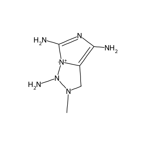 CN1CC2=C(N)N=C(N)[N+]2N1N